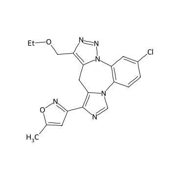 CCOCc1nnn2c1Cc1c(-c3cc(C)on3)ncn1-c1ccc(Cl)cc1-2